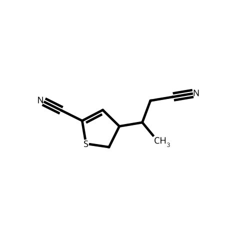 CC(CC#N)C1C=C(C#N)SC1